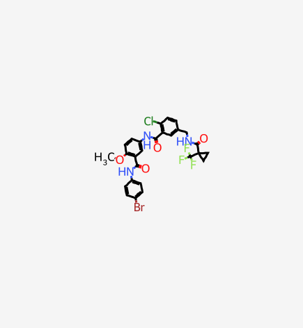 COc1ccc(NC(=O)c2cc(CNC(=O)C3(C(F)(F)F)CC3)ccc2Cl)cc1C(=O)Nc1ccc(Br)cc1